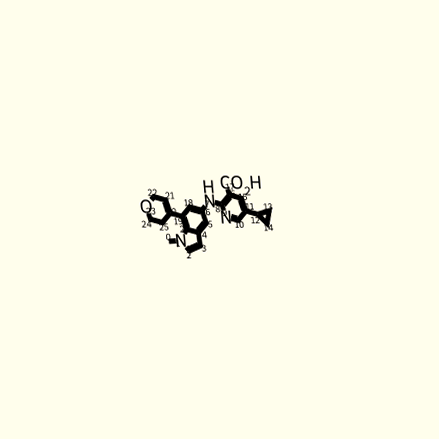 Cn1ccc2cc(Nc3ncc(C4CC4)cc3C(=O)O)cc(C3=CCOCC3)c21